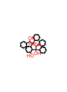 Oc1cccc(C(O)(c2ccccc2)C(O)c2ccccc2)c1C(O)(c1ccccc1)C(O)c1ccccc1